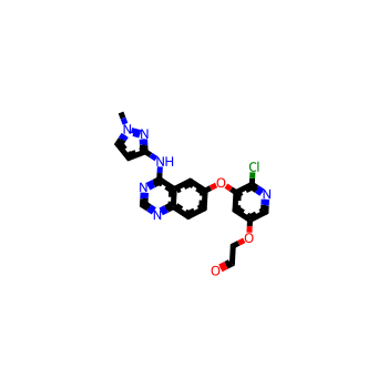 Cn1ccc(Nc2ncnc3ccc(Oc4cc(OCC=O)cnc4Cl)cc23)n1